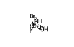 CC(CO)(CO)COc1ccc(C2c3[nH]c4ccc(Br)cc4c3CCN2C(=O)Oc2ccc(F)cc2)cc1